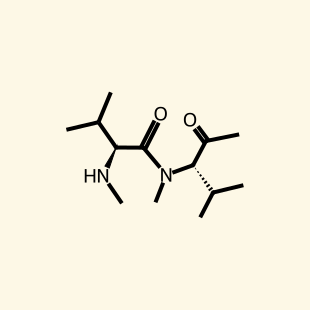 CN[C@H](C(=O)N(C)[C@H](C(C)=O)C(C)C)C(C)C